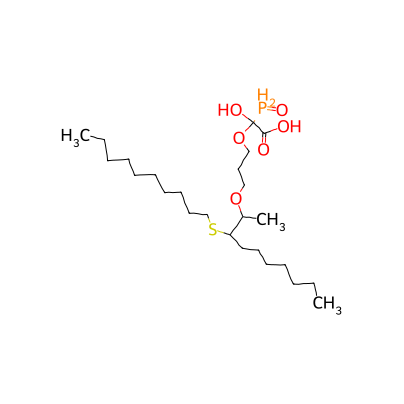 CCCCCCCCCCSC(CCCCCCC)C(C)OCCCOC(O)([PH2]=O)C(=O)O